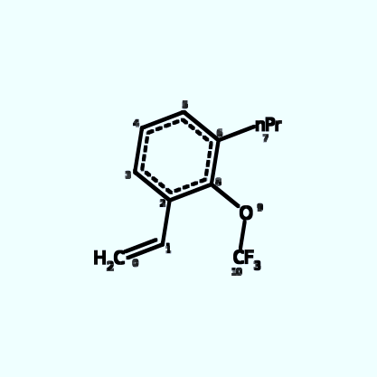 C=[C]c1cccc(CCC)c1OC(F)(F)F